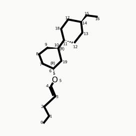 CCCC=CO[C@@H]1CCC[C@@H]([C@H]2CC[C@H](CC)CC2)C1